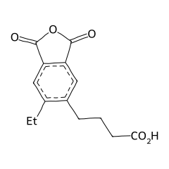 CCc1cc2c(cc1CCCC(=O)O)C(=O)OC2=O